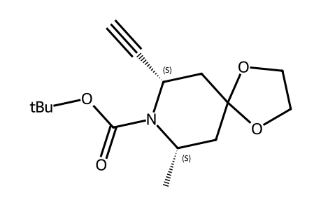 C#C[C@@H]1CC2(C[C@H](C)N1C(=O)OC(C)(C)C)OCCO2